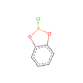 ClP1Oc2ccccc2O1